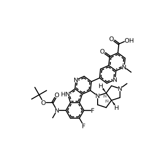 CN1C[C@@H]2CCN(c3c(-c4cnc5c(c4)c(=O)c(C(=O)O)cn5C)cnc4[nH]c5c(N(C)C(=O)OC(C)(C)C)cc(F)c(F)c5c34)[C@@H]2C1